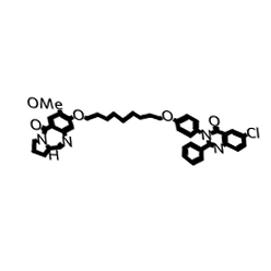 COc1cc2c(cc1OCCCCCCCCCOc1ccc(-n3c(-c4ccccc4)nc4ccc(Cl)cc4c3=O)cc1)N=C[C@@H]1CCCN1C2=O